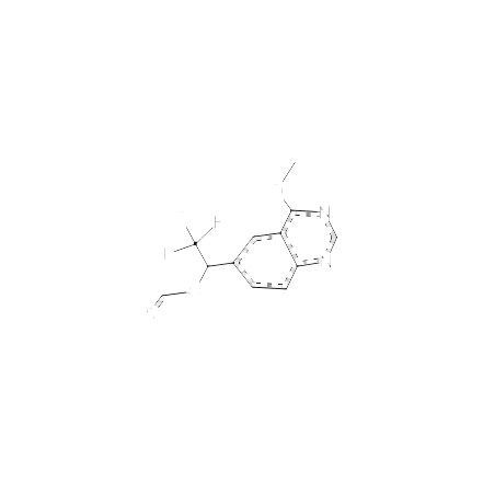 COc1ncnc2ccc(C(OC=S)C(F)(F)F)cc12